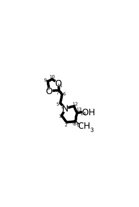 C[C@@H]1CCN(CCC2OCCO2)CC1O